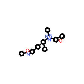 c1ccc(-c2nc(-c3ccc(-c4ccc(-c5ccc6nc(-c7ccccc7)oc6c5)cc4)c(-c4ccccc4)c3)nc(-c3ccc4oc5ccccc5c4c3)n2)cc1